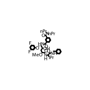 CCCN(CCC)C(=O)c1cccc(C(=O)N[C@@H](COc2cc(F)cc(F)c2)[C@@H](O)C[C@@H](OC)C(=O)NC(C(=O)NCc2ccccc2)C(C)C)c1